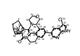 CN1C2CCC1CN(C(=O)N1CCc3cc(-c4cnc5[nH]cc(Cl)c5c4)cc([C@@H]4COCCN4C(=O)OC(C)(C)C)c3C1)C2